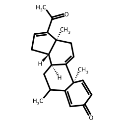 CC(=O)C1=CC[C@H]2[C@@H]3CC(C)C4=CC(=O)C=C[C@]4(C)C3=CC[C@]12C